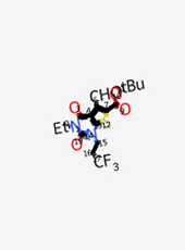 CCn1c(=O)c2c(C=O)c(C(=O)OC(C)(C)C)sc2n(CCC(F)(F)F)c1=O